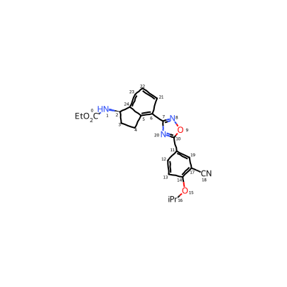 CCOC(=O)N[C@@H]1CCc2c(-c3noc(-c4ccc(OC(C)C)c(C#N)c4)n3)cccc21